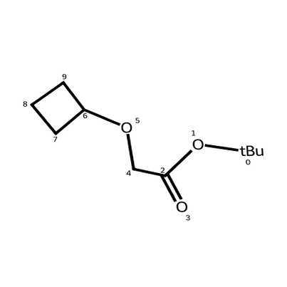 CC(C)(C)OC(=O)COC1CCC1